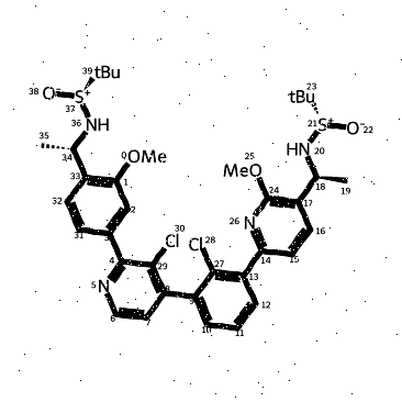 COc1cc(-c2nccc(-c3cccc(-c4ccc([C@H](C)N[S@@+]([O-])C(C)(C)C)c(OC)n4)c3Cl)c2Cl)ccc1[C@H](C)N[S@@+]([O-])C(C)(C)C